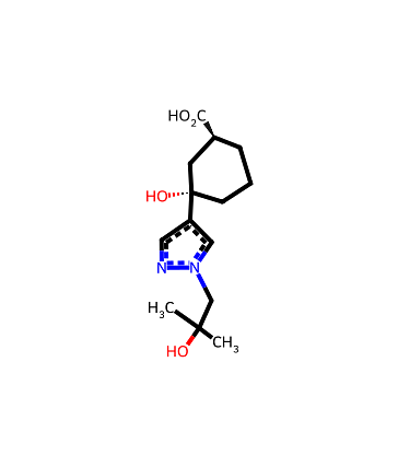 CC(C)(O)Cn1cc([C@]2(O)CCC[C@H](C(=O)O)C2)cn1